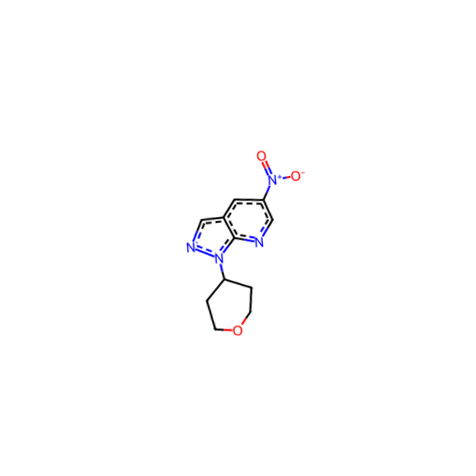 O=[N+]([O-])c1cnc2c(cnn2C2CCOCC2)c1